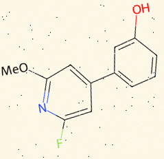 COc1cc(-c2cccc(O)c2)cc(F)n1